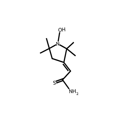 CC1(C)CC(=CC(N)=S)C(C)(C)N1O